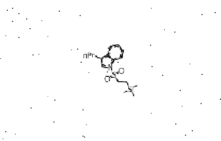 CCCc1cn(S(=O)(=O)CC[Si](C)(C)C)c2ccccc12